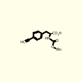 C#Cc1ccc(C[C@H](NC(=O)OC(C)(C)C)C(=O)O)cc1